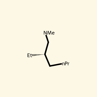 CCCC[C@H](CC)CNC